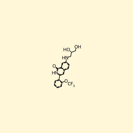 O=c1[nH]c(-c2ccccc2OC(F)(F)F)cc2ccc(NC[C@@H](O)CO)cc12